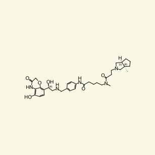 CN(CCCCC(=O)Nc1ccc(CNC[C@H](O)c2ccc(O)c3c2OCC(=O)N3)cc1)C(=O)CCN1C[C@H]2CCC[C@@]2(C)C1